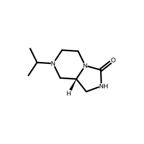 CC(C)N1CCN2C(=O)NC[C@@H]2C1